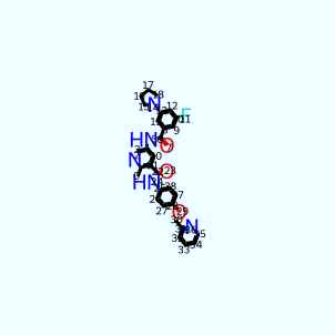 Cc1ncc(NC(=O)c2cc(F)cc(N3CCCC3)c2)cc1C(=O)Nc1ccc(OCc2ccccn2)cc1